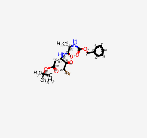 C[C@H](NC(=O)OCc1ccccc1)C(=O)N[C@@H](CC(=O)OC(C)(C)C)C(=O)CBr